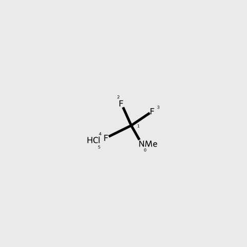 CNC(F)(F)F.Cl